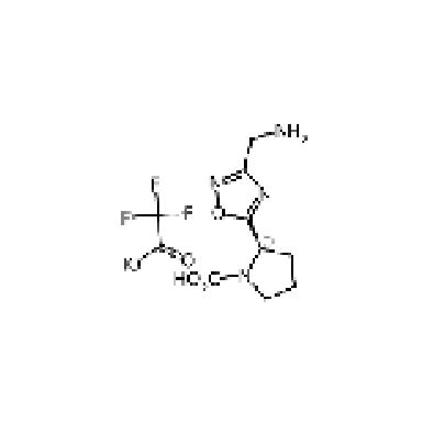 NCc1noc([C@H]2CCCN2C(=O)O)n1.O=C(O)C(F)(F)F